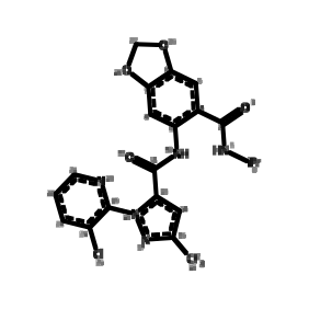 CC(C)NC(=O)c1cc2c(cc1NC(=O)c1cc(C(F)(F)F)nn1-c1ncccc1Cl)OCO2